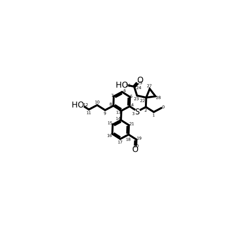 CCC(Sc1cccc(CCCO)c1-c1cccc(C=O)c1)C1(CC(=O)O)CC1